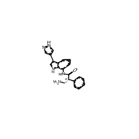 NC[C@H](C(=O)Nc1cccc2c(-c3cn[nH]c3)c[nH]c12)c1ccccc1